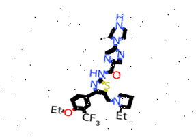 CCOc1ccc(-c2nc(NC(=O)c3cnc(N4CCNC[C@H]4C)cn3)sc2CN2CCC[C@H]2CC)cc1C(F)(F)F